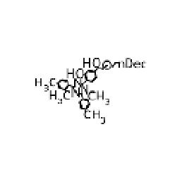 CCCCCCCCCCCCOCC(O)c1ccc(-c2nc(-c3ccc(C)cc3C)nc(-c3ccc(C)cc3C)n2)c(O)c1